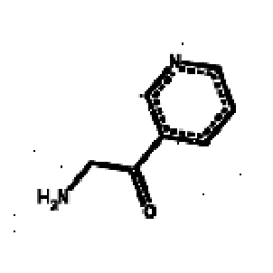 NCC(=O)c1[c]nccc1